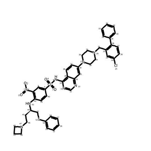 O=[N+]([O-])c1cc(S(=O)(=O)Nc2ncnc3cc(N4CCN(Cc5cc(Cl)ccc5-c5ccccc5)CC4)ccc23)ccc1N[C@H](CCN1CCC1)CSc1ccccc1